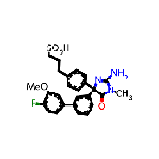 COc1cc(-c2cccc(C3(c4ccc(CCCS(=O)(=O)O)cc4)N=C(N)N(C)C3=O)c2)ccc1F